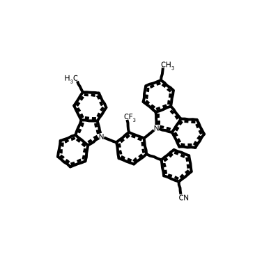 Cc1ccc2c(c1)c1ccccc1n2-c1ccc(-c2cccc(C#N)c2)c(-n2c3ccccc3c3cc(C)ccc32)c1C(F)(F)F